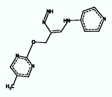 Cc1cnc(OC/C(=C/Nc2ccncc2)N=N)nc1